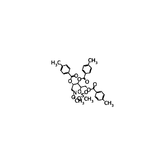 CON=CC(OC(=O)c1ccc(C)cc1)C(OC(=O)c1ccc(C)cc1)C(COC(=O)c1ccc(C)cc1)OS(C)(=O)=O